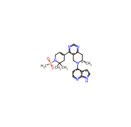 C[C@@H]1Cc2ncnc(C3=CCN(S(C)(=O)=O)C(C)(C)C3)c2CN1c1ccnc2[nH]ccc12